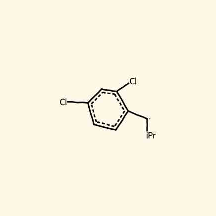 CC(C)[CH]c1ccc(Cl)cc1Cl